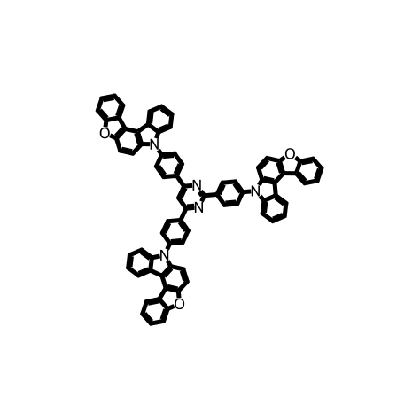 c1ccc2c(c1)oc1ccc3c(c4ccccc4n3-c3ccc(-c4cc(-c5ccc(-n6c7ccccc7c7c8c(ccc76)oc6ccccc68)cc5)nc(-c5ccc(-n6c7ccccc7c7c8c(ccc76)oc6ccccc68)cc5)n4)cc3)c12